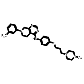 CC(=O)N1CCN(CCCOc2ccc(Nc3ncnc4c3CCN(c3cccc(C(F)(F)F)c3)C4)cc2)CC1